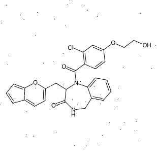 O=C1NCc2ccccc2N(C(=O)c2ccc(OCCO)cc2Cl)C1Cc1ccc2cccc-2o1